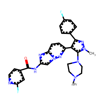 CCCN1CCN(c2c(-c3ccc4nc(NC(=O)c5ccnc(F)c5)cn4n3)c(-c3ccc(F)cc3)nn2C)CC1